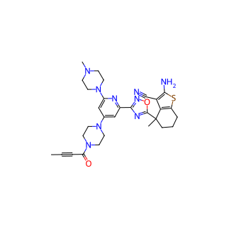 CC#CC(=O)N1CCN(c2cc(-c3noc(C4(C)CCCc5sc(N)c(C#N)c54)n3)nc(N3CCN(C)CC3)c2)CC1